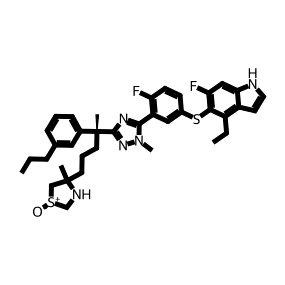 CCCc1cccc([C@@](C)(CCCC2(C)C[S+]([O-])CN2)c2nc(-c3cc(Sc4c(F)cc5[nH]ccc5c4CC)ccc3F)n(C)n2)c1